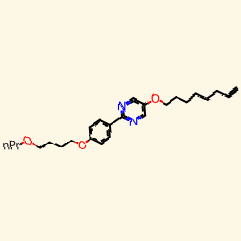 C=CCCCCCCOc1cnc(-c2ccc(OCCCCOCCC)cc2)nc1